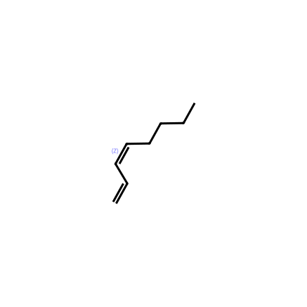 C=C/C=C\CCCC